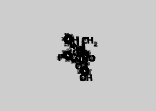 C=CCN(C(=O)NCc1ccccc1)N1CC(=O)N2[C@@H](Cc3ccc(O)cc3)C(=O)N(Cc3cccc(F)c3)C[C@@H]21